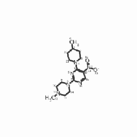 CC1CCN(c2nc(N3CCN(C)CC3)ncc2[N+](=O)[O-])CC1